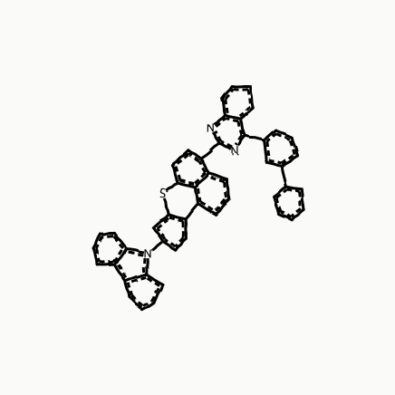 c1ccc(-c2cccc(-c3nc(-c4ccc5c6c(cccc46)-c4ccc(-n6c7ccccc7c7ccccc76)cc4S5)nc4ccccc34)c2)cc1